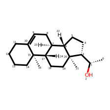 C[C@H](O)[C@H]1CC[C@H]2[C@@H]3CC=C4CCCC[C@]4(C)[C@H]3CC[C@]12C